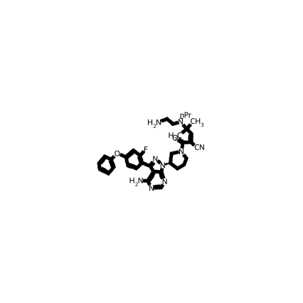 CCCN(CCN)C(C)(C)/C=C(/C#N)C(=O)N1CCC[C@@H](n2nc(-c3ccc(Oc4ccccc4)cc3F)c3c(N)ncnc32)C1